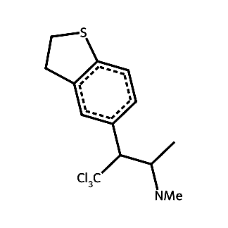 CNC(C)C(c1ccc2c(c1)CCS2)C(Cl)(Cl)Cl